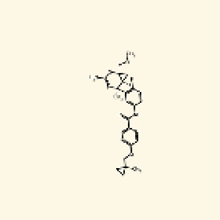 COC[C@]12C[C@H]1[C@@](C)(c1cc(NC(=O)c3cnc(OCC4(C)CC4)cn3)ccc1F)N=C(N)S2